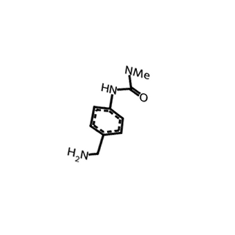 CNC(=O)Nc1ccc(CN)cc1